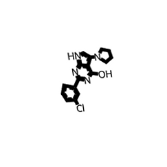 Oc1nc(-c2cccc(Cl)c2)nc2[nH]cc(N3CCCC3)c12